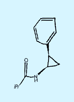 CC(C)C(=O)N[C@@H]1C[C@@H]1c1ccccc1